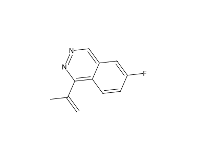 C=C(C)c1nncc2cc(F)ccc12